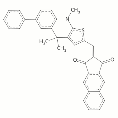 CN1c2ccc(-c3ccccc3)cc2C(C)(C)c2cc(C=C3C(=O)c4cc5ccccc5cc4C3=O)sc21